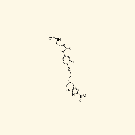 CC(=O)NCC1CN(c2ccc(C#CCOC3COc4nc([N+](=O)[O-])cn4C3)c(F)c2)C(=O)O1